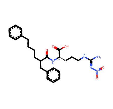 NC(=N[N+](=O)[O-])NCCC[C@H](NC(=O)C(CCCCc1ccccc1)Cc1ccccc1)C(=O)O